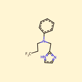 FC(F)(F)CCN(Cc1ncc[nH]1)c1ccccc1